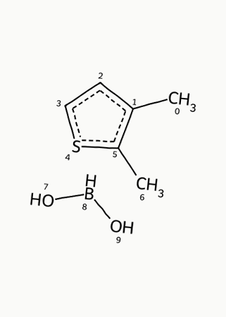 Cc1ccsc1C.OBO